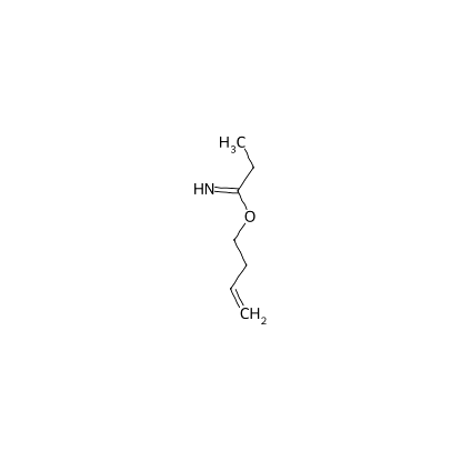 C=CCCOC(=N)CC